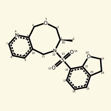 C[C@@H]1COCc2ncccc2CN1S(=O)(=O)c1cccc2c1OCC2